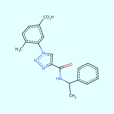 Cc1ccc(C(=O)O)cc1-n1cc(C(=O)NC(C)c2ccccc2)nn1